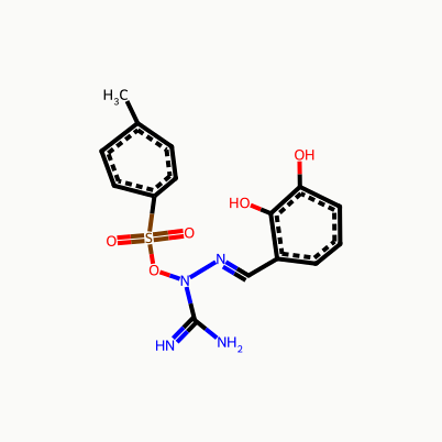 Cc1ccc(S(=O)(=O)ON(N=Cc2cccc(O)c2O)C(=N)N)cc1